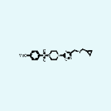 COc1ccc(S(=O)(=O)N2CCN(c3nc(COCC4CC4)no3)CC2)cc1